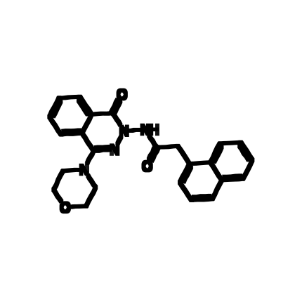 O=C(Cc1cccc2ccccc12)Nn1nc(N2CCOCC2)c2ccccc2c1=O